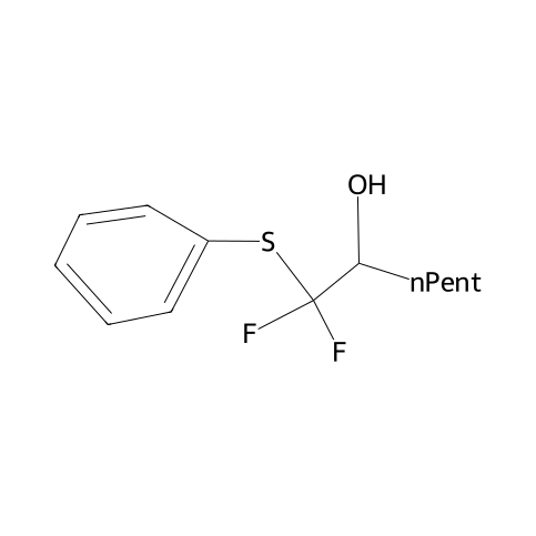 CCCCCC(O)C(F)(F)Sc1ccccc1